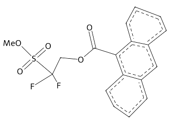 COS(=O)(=O)C(F)(F)COC(=O)c1c2ccccc2cc2ccccc12